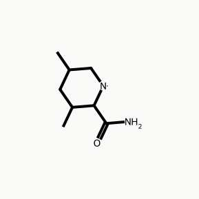 CC1C[N]C(C(N)=O)C(C)C1